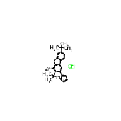 CC(C)(C)c1ccc2c(c1)Cc1c-2cc(C2=CC=CC2)c(C(C)(C)C)[c]1[Zr+2].[Cl-].[Cl-]